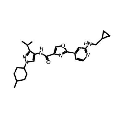 CC1CCC(n2cc(NC(=O)c3coc(-c4ccnc(NCC5CC5)c4)n3)c(C(C)C)n2)CC1